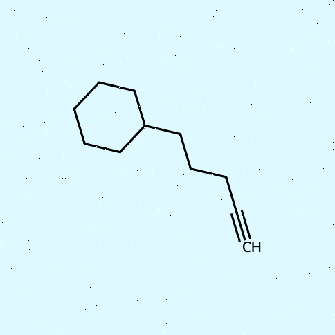 C#CCCC[C]1CCCCC1